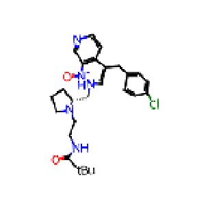 CC(C)(C)C(=O)NCCN1CCC[C@@H]1CN1C=C(Cc2ccc(Cl)cc2)c2ccncc2[NH+]1[O-]